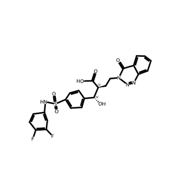 O=C(O)[C@@H](CCn1nnc2ccccc2c1=O)[C@H](O)c1ccc(S(=O)(=O)Nc2ccc(F)c(F)c2)cc1